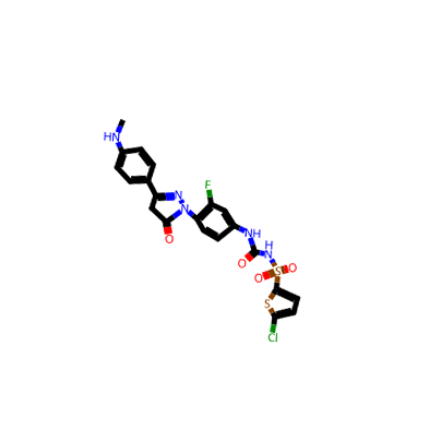 CNc1ccc(C2=NN(c3ccc(NC(=O)NS(=O)(=O)c4ccc(Cl)s4)cc3F)C(=O)C2)cc1